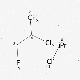 CC(C)Cl.FCC(Cl)C(F)(F)F